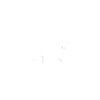 CCOC(=O)C(=O)NCCCCN(CCC(C)NC(=O)OC(C)(C)C)Cc1ccccc1